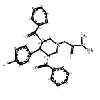 CN(C)C(=O)CN1C[C@H](C(=O)c2ccccc2)C(c2ccc(F)cc2)[C@@H](C(=O)c2ccccc2)C1